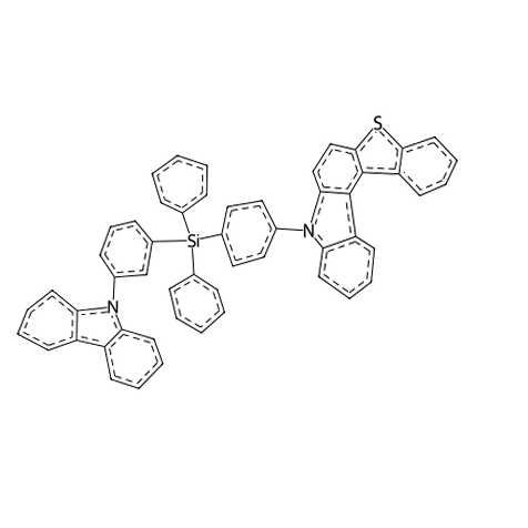 c1ccc([Si](c2ccccc2)(c2ccc(-n3c4ccccc4c4c5c(ccc43)sc3ccccc35)cc2)c2cccc(-n3c4ccccc4c4ccccc43)c2)cc1